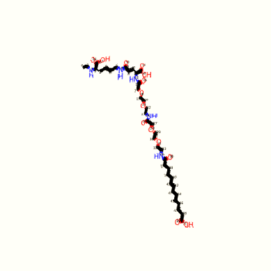 CCN[C@H](CCCCNC(=O)CC[C@H](NC(=O)COCCOCCNC(=O)COCCOCCNC(=O)CCCCCCCCCCCCC(=O)O)C(=O)O)C(=O)O